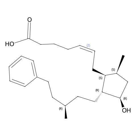 C[C@@H](CCc1ccccc1)CC[C@@H]1[C@@H](C/C=C\CCCC(=O)O)[C@@H](C)C[C@H]1O